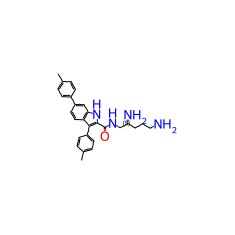 Cc1ccc(-c2ccc3c(-c4ccc(C)cc4)c(C(=O)NC[C@@H](N)CCCN)[nH]c3c2)cc1